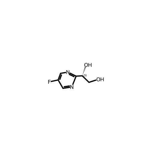 OC[C@@H](O)c1ncc(F)cn1